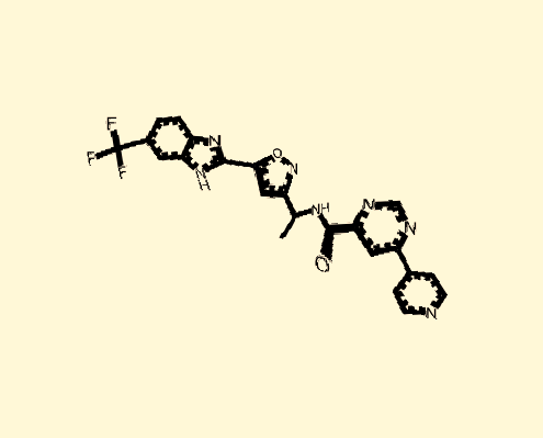 CC(NC(=O)c1cc(-c2ccncc2)ncn1)c1cc(-c2nc3ccc(C(F)(F)F)cc3[nH]2)on1